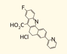 Cl.O=C(O)c1c2c(nc3ccc(F)cc13)-c1ccc(-c3ccccn3)cc1CC2